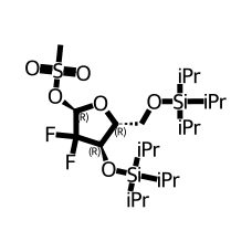 CC(C)[Si](OC[C@H]1O[C@H](OS(C)(=O)=O)C(F)(F)[C@@H]1O[Si](C(C)C)(C(C)C)C(C)C)(C(C)C)C(C)C